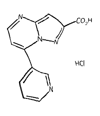 Cl.O=C(O)c1cc2nccc(-c3cccnc3)n2n1